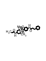 C=CC(=O)NC1CC(C)N(S(=O)(=O)c2ccc(NC(=O)CCc3ccccc3)cc2OC)C(C)C1